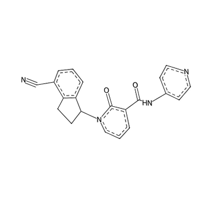 N#Cc1cccc2c1CCC2n1cccc(C(=O)Nc2ccncc2)c1=O